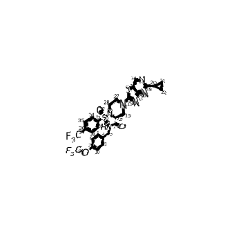 O=C(NCc1ccc(OC(F)(F)F)cc1)[C@H]1CN(c2nc3nc(C4CC4)ncc3s2)CCN1S(=O)(=O)c1ccc(C(F)(F)F)cc1